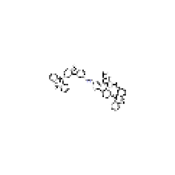 CC1(C)C2=CC(/C=C/c3ccc4sc5c(c4c3)CC(N3c4ccccc4Sc4ccccc43)C=C5)CC=C2C2=C1C=C(N1c3ccccc3Sc3ccccc31)CC2